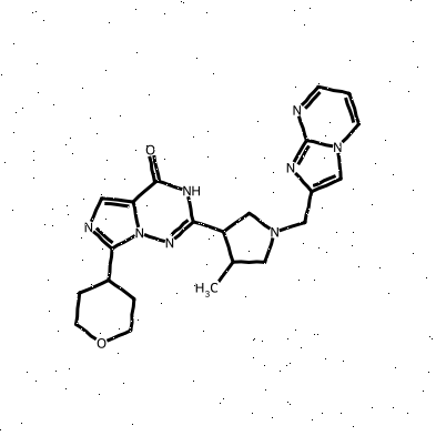 CC1CN(Cc2cn3cccnc3n2)CC1c1nn2c(C3CCOCC3)ncc2c(=O)[nH]1